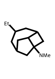 CCC1CC2CC3C(C1)CC3(NC)C2